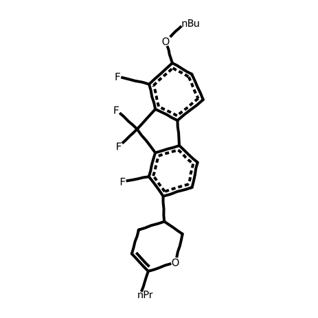 CCCCOc1ccc2c(c1F)C(F)(F)c1c-2ccc(C2CC=C(CCC)OC2)c1F